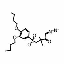 CCCCOc1ccc(S(=O)(=O)CC(C)(C)C(=O)C=[N+]=[N-])cc1OCCCC